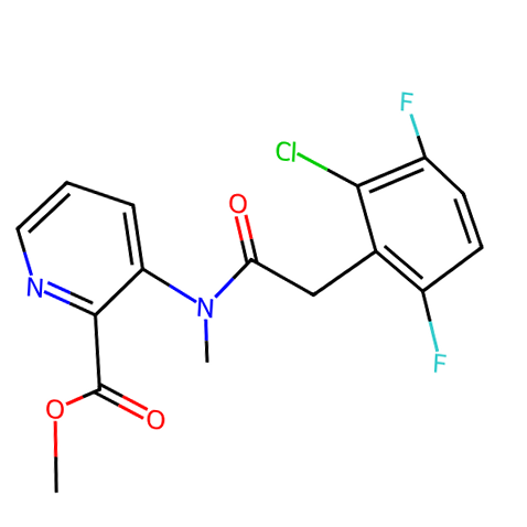 COC(=O)c1ncccc1N(C)C(=O)Cc1c(F)ccc(F)c1Cl